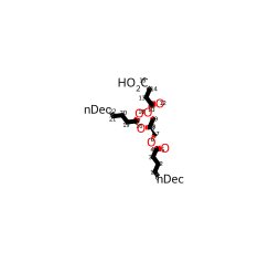 CCCCCCCCCCCCCC(=O)OC[C@H](COC(=O)CCC(=O)O)OC(=O)CCCCCCCCCCCCC